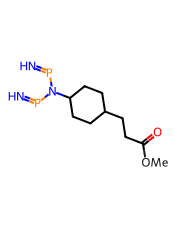 COC(=O)CCC1CCC(N(P=N)P=N)CC1